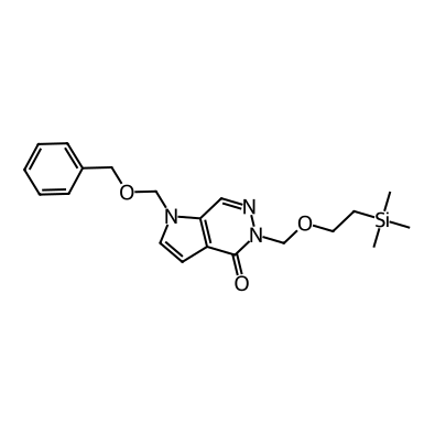 C[Si](C)(C)CCOCn1ncc2c(ccn2COCc2ccccc2)c1=O